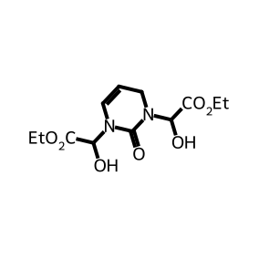 CCOC(=O)C(O)N1C=CCN(C(O)C(=O)OCC)C1=O